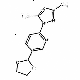 Cc1cc(C)n(-c2ccc(C3OCCO3)cn2)n1